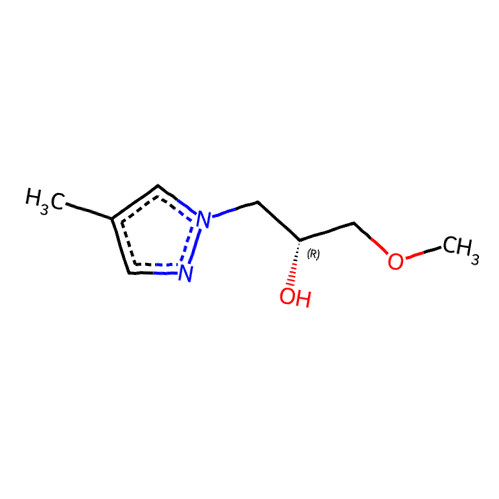 COC[C@H](O)Cn1cc(C)cn1